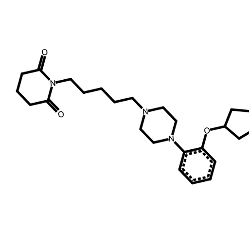 O=C1CCCC(=O)N1CCCCCN1CCN(c2ccccc2OC2CCCC2)CC1